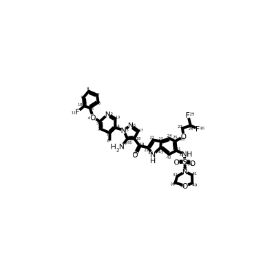 Cc1cc(Oc2ccccc2F)ncc1-n1ncc(C(=O)c2cc3cc(OCC(F)F)c(NS(=O)(=O)N4CCOCC4)cc3[nH]2)c1N